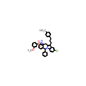 O=C(O)c1ccc(CCCc2c(CCNS(=O)(=O)c3cccc(OC(F)(F)F)c3)n(C(c3ccccc3)c3ccccc3)c3ccc(Cl)cc23)cc1